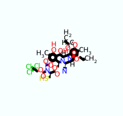 C=CCOC(=O)N1C2c3c(cc(C)c(OC)c3OCC=C)C[C@H]1[C@H](C#N)N1[C@H]2[C@@H](O)c2c(O)c(C)c3c(c2[C@@H]1COC(=O)[C@@H](CS)NC(=O)OCC(Cl)(Cl)Cl)OCO3